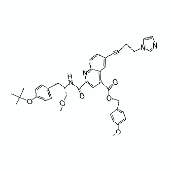 COC[C@H](Cc1ccc(OC(C)(C)C)cc1)NC(=O)c1cc(C(=O)OCc2ccc(OC)cc2)c2cc(C#CCCn3ccnc3)ccc2n1